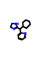 c1ccc(C(C2=NCCN2)C2CCCCC2)nc1